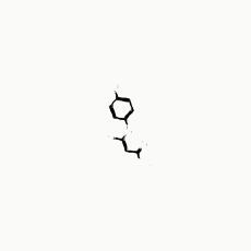 CC(C)(C)C(=N)/C=C(/N)Nc1ccc(O)cc1